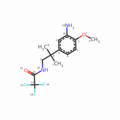 COc1ccc(C(C)(C)CNC(=O)C(F)(F)F)cc1N